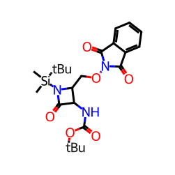 CC(C)(C)OC(=O)NC1C(=O)N([Si](C)(C)C(C)(C)C)C1CON1C(=O)c2ccccc2C1=O